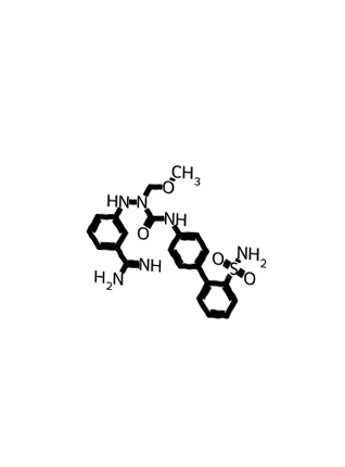 COCN(Nc1cccc(C(=N)N)c1)C(=O)Nc1ccc(-c2ccccc2S(N)(=O)=O)cc1